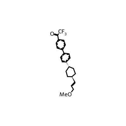 COCC=C[C@H]1CC[C@H](c2ccc(-c3ccc(C(=O)C(F)(F)F)cc3)cc2)CC1